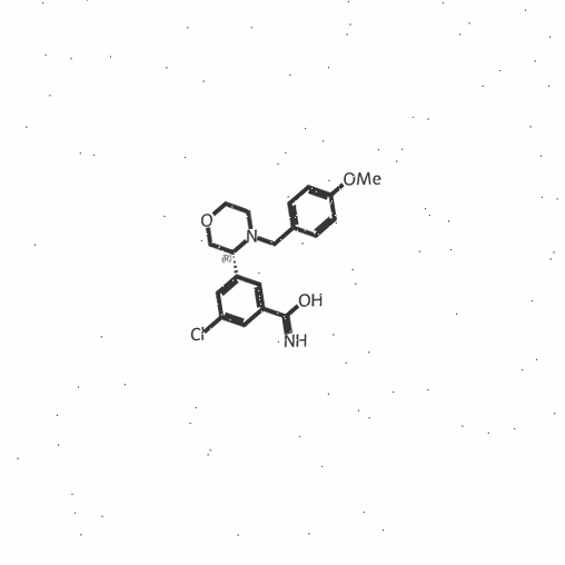 COc1ccc(CN2CCOC[C@H]2c2cc(Cl)cc(C(=N)O)c2)cc1